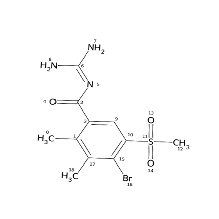 Cc1c(C(=O)N=C(N)N)cc(S(C)(=O)=O)c(Br)c1C